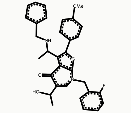 COc1ccc(-c2sc3c(c2C(C)NCc2ccccc2)c(=O)c(C(C)O)cn3Cc2ccccc2F)cc1